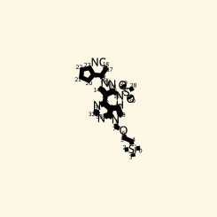 C[Si](C)(C)CCOCn1ccc2c(-c3cn(C(CC#N)C4CCCC4)nc3NS(C)(=O)=O)ncnc21